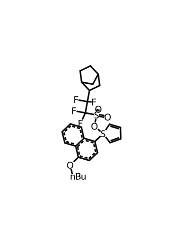 CCCCOc1ccc(S2(OS(=O)(=O)C(F)(F)C(F)(F)C3CC4CCC3C4)C=CC=C2)c2ccccc12